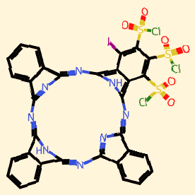 O=S(=O)(Cl)c1c(S(=O)(=O)Cl)c(S(=O)(=O)Cl)c2c3nc4nc(nc5[nH]c(nc6nc(nc([nH]3)c2c1I)-c1ccccc1-6)c1ccccc51)-c1ccccc1-4